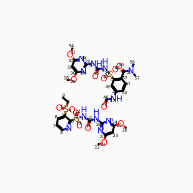 CCS(=O)(=O)c1cccnc1S(=O)(=O)NC(=O)Nc1nc(OC)cc(OC)n1.COc1cc(OC)nc(NC(=O)NS(=O)(=O)c2cc(NC=O)ccc2C(=O)N(C)C)n1